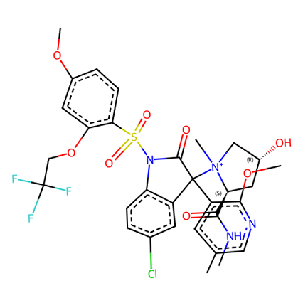 CNC(=O)[C@@H]1C[C@@H](O)C[N+]1(C)C1(c2cc(C)cnc2OC)C(=O)N(S(=O)(=O)c2ccc(OC)cc2OCC(F)(F)F)c2ccc(Cl)cc21